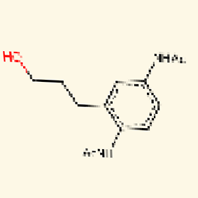 CC(=O)Nc1ccc(NC(C)=O)c(CCCO)c1